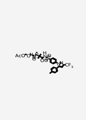 CC(=O)OCON=[N+]([O-])N(C)C(C)(C)C(=O)NS(=O)(=O)c1ccc(-n2nc(C(F)(F)F)cc2-c2ccc(C)cc2)cc1